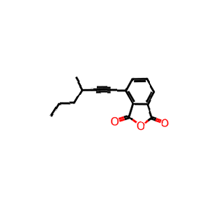 CCCC(C)C#Cc1cccc2c1C(=O)OC2=O